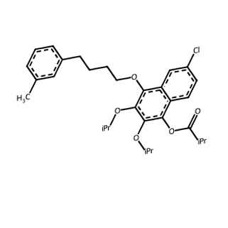 Cc1cccc(CCCCOc2c(OC(C)C)c(OC(C)C)c(OC(=O)C(C)C)c3ccc(Cl)cc23)c1